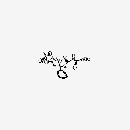 CCCCC(=O)NC1=NN(C(C)=O)C(CCNS(C)(=O)=O)(c2ccccc2)S1